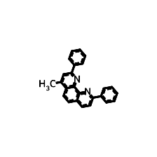 Cc1cc(-c2ccccc2)nc2c1ccc1ccc(-c3ccccc3)nc12